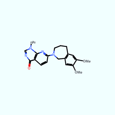 CCCn1cnc(=O)c2ccc(N3CCCc4cc(OC)c(OC)cc4C3)nc21